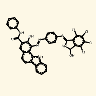 O=C(Nc1ccccc1)c1cc2ccc3c4ccccc4[nH]c3c2c(N=Nc2ccc(N=C3NC(O)c4c(Cl)c(Cl)c(Cl)c(Cl)c43)cc2)c1O